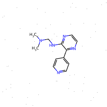 CN(C)CNc1nccnc1-c1ccncc1